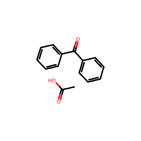 CC(=O)O.O=C(c1ccccc1)c1ccccc1